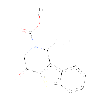 CCOC(=O)C1c2c(sc3ccccc23)C(=O)CN1C(=O)OC(C)(C)C